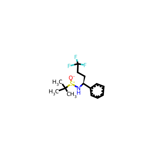 CC(C)(C)[S+]([O-])N[C@@H](CCC(F)(F)F)c1ccccc1